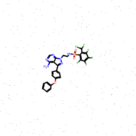 Nc1ncnc2c1c(-c1ccc(Oc3ccccc3)cc1)nn2CCNS(=O)(=O)c1c(F)c(F)c(F)c(F)c1C(F)F